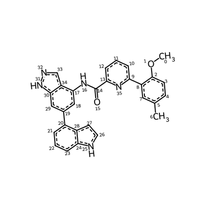 COc1ccc(C)cc1-c1cccc(C(=O)Nc2cc(-c3cccc4[nH]ccc34)cc3[nH]ncc23)n1